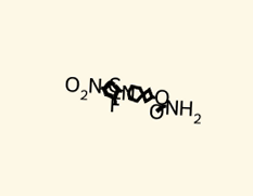 NC(=O)OC1CC2(CCN(c3ccc([N+](=O)[O-])cc3F)CC2)C1